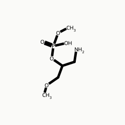 COCC(CN)OP(=O)(O)OC